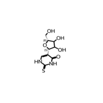 O=c1[nH]c(=S)[nH]cc1[C@@H]1O[C@H](CO)C(O)C1O